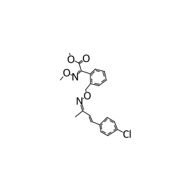 CON=C(C(=O)OC)c1ccccc1CON=C(C)C=Cc1ccc(Cl)cc1